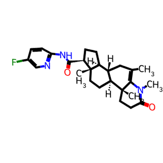 CC1=C2N(C)C(=O)CC[C@]2(C)[C@H]2CC[C@]3(C)[C@@H](C(=O)Nc4ccc(F)cn4)CC[C@H]3[C@@H]2C1